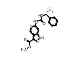 COC(=O)c1n[nH]c2cc(NC(=O)N[C@H](C)c3ccccc3)ncc12